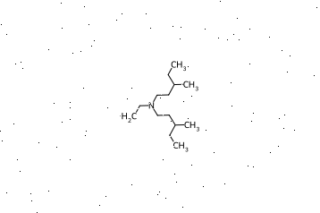 [CH2]CN(CCC(C)CC)CCC(C)CC